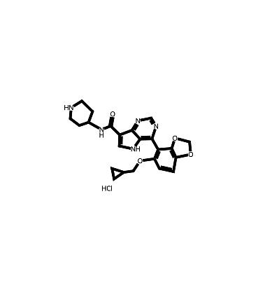 Cl.O=C(NC1CCNCC1)c1c[nH]c2c(-c3c(OCC4CC4)ccc4c3OCO4)ncnc12